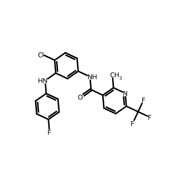 Cc1nc(C(F)(F)F)ccc1C(=O)Nc1ccc(Cl)c(Nc2ccc(F)cc2)c1